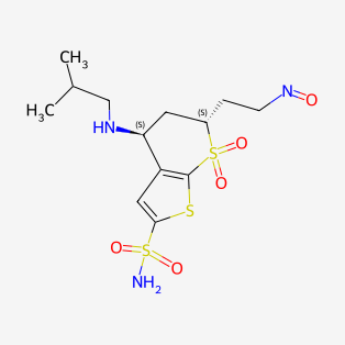 CC(C)CN[C@H]1C[C@H](CCN=O)S(=O)(=O)c2sc(S(N)(=O)=O)cc21